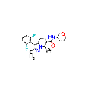 Cc1nn2c(C(C)C)c(C(=O)NC3CCCOC3)ccc2c1-c1c(F)cccc1F